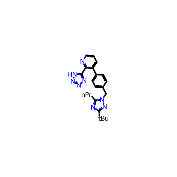 CCCc1nc(C(C)(C)C)nn1Cc1ccc(-c2cccnc2-c2nnn[nH]2)cc1